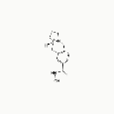 O=C(NO)c1ccc2c(c1)C[C@@H]1CCCN1C2